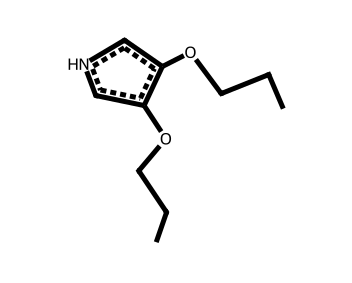 CCCOc1c[nH]cc1OCCC